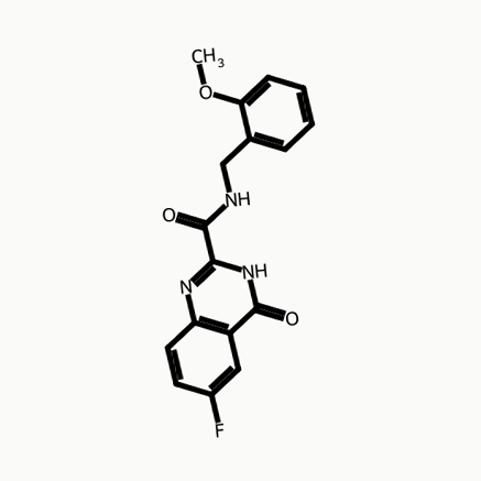 COc1ccccc1CNC(=O)c1nc2ccc(F)cc2c(=O)[nH]1